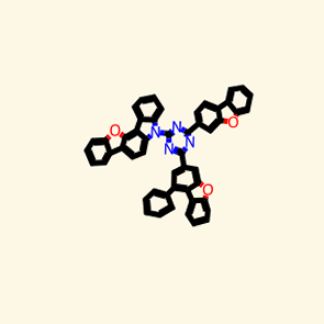 c1ccc(-c2cc(-c3nc(-c4ccc5c(c4)oc4ccccc45)nc(-n4c5ccccc5c5c6oc7ccccc7c6ccc54)n3)cc3oc4ccccc4c23)cc1